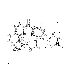 CN1CCN(c2ccc(Nc3ncc4ccc5onc(C6CCCC6)c5c4n3)nc2)CC1